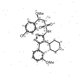 COc1cccc(-c2nnc(NS(=O)(=O)[C@@H](C)[C@H](OC)c3ccc(Cl)cn3)n2C2CCOCC2)n1